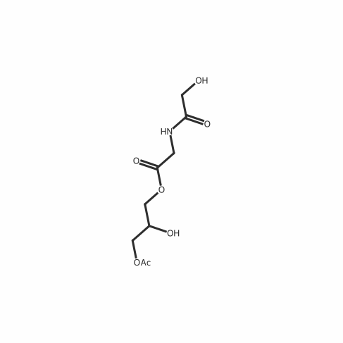 CC(=O)OCC(O)COC(=O)CNC(=O)CO